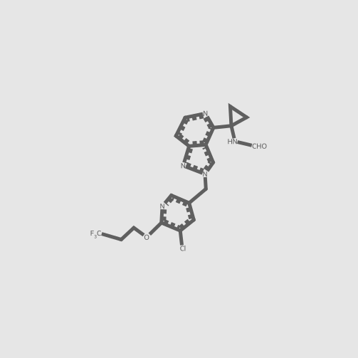 O=CNC1(c2nccc3nn(Cc4cnc(OCCC(F)(F)F)c(Cl)c4)cc23)CC1